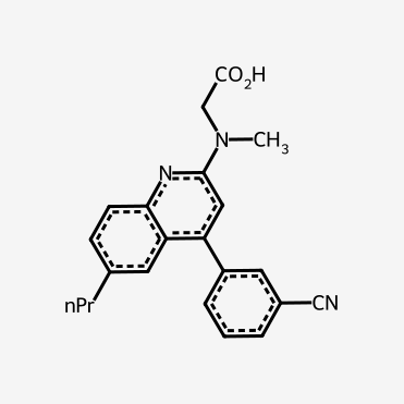 CCCc1ccc2nc(N(C)CC(=O)O)cc(-c3cccc(C#N)c3)c2c1